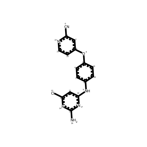 N#Cc1cc(Oc2ccc(Nc3cc(Cl)nc(N)n3)cc2)ccn1